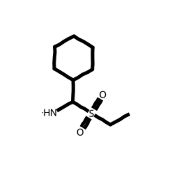 CCS(=O)(=O)C([NH])C1CCCCC1